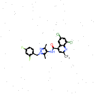 Cc1nn(Cc2ccc(F)cc2F)c(C)c1NC(=O)c1cc(C(F)(F)F)nc2c(Cl)cc(Cl)cc12